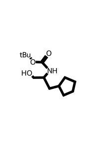 CC(C)(C)OC(=O)NC(CO)CC1CCCC1